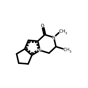 CC1Cn2c(cc3c2CCC3)C(=O)N1C